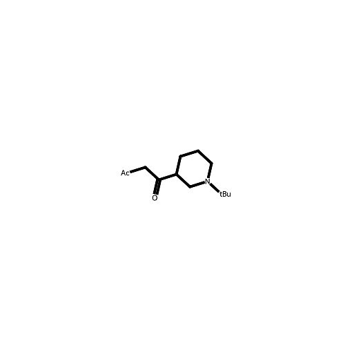 CC(=O)CC(=O)C1CCCN(C(C)(C)C)C1